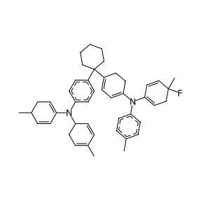 CC1=CCC(N(C2=CCC(C)C=C2)c2ccc(C3(C4=CC=C(N(C5=CCC(C)(F)C=C5)c5ccc(C)cc5)CC4)CCCCC3)cc2)C=C1